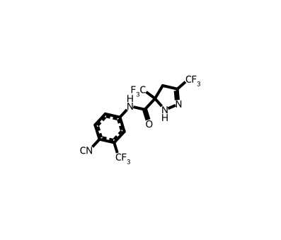 [C-]#[N+]c1ccc(NC(=O)C2(C(F)(F)F)CC(C(F)(F)F)=NN2)cc1C(F)(F)F